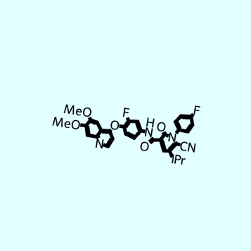 COc1cc2nccc(Oc3ccc(NC(=O)c4cc(C(C)C)c(C#N)n(-c5ccc(F)cc5)c4=O)cc3F)c2cc1OC